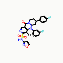 Cc1c(S(=O)(=O)Nc2ccon2)ncc(C(=O)N2CCC(c3ccc(F)cc3)CC2)c1Nc1cccc(F)c1